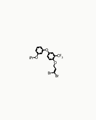 CC(C)Oc1cccc(Oc2ccc(OCC=C(Br)Br)c(C(F)(F)F)c2)c1